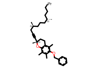 Cc1c(C)c2c(c(C)c1OCc1ccccc1)CC[C@@](C)(C#CC[C@@H](C)CCC[C@@H](C)CCCC(C)C)O2